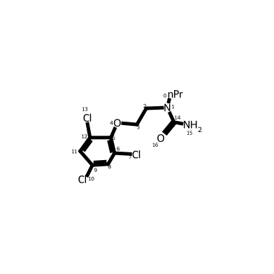 CCCN(CCOc1c(Cl)cc(Cl)cc1Cl)C(N)=O